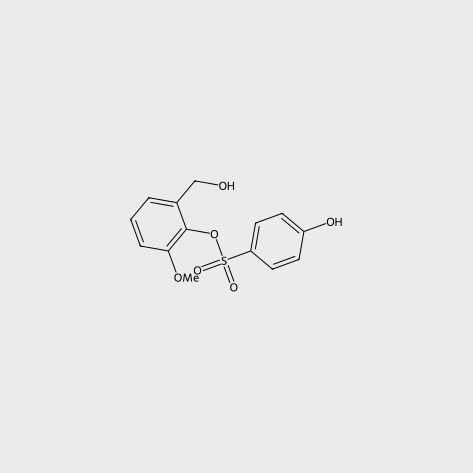 COc1cccc(CO)c1OS(=O)(=O)c1ccc(O)cc1